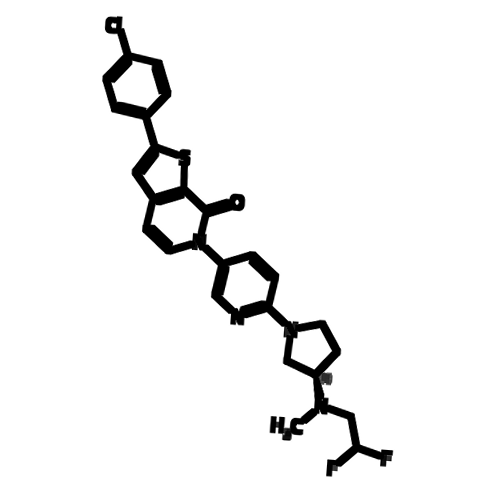 CN(CC(F)F)[C@@H]1CCN(c2ccc(-n3ccc4cc(-c5ccc(Cl)cc5)sc4c3=O)cn2)C1